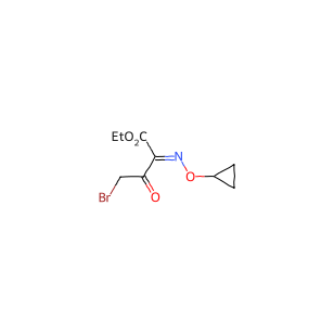 CCOC(=O)C(=NOC1CC1)C(=O)CBr